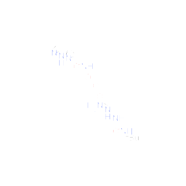 CC(NC(=O)CCNCCN/C=C(\N)COCCOCCOCCNC(=O)C1(Cc2cccc(Nc3nccs3)n2)CCCCC1)C(C)(C)C